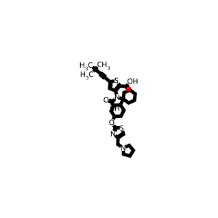 CC(=O)N(c1cc(C#CC(C)(C)C)sc1C(=O)O)C1(C2CCC(Oc3nc(CN4CCCC4)cs3)CC2)CCCCC1